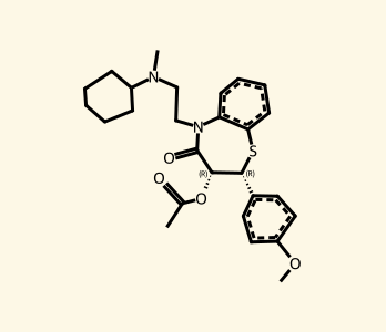 COc1ccc([C@H]2Sc3ccccc3N(CCN(C)C3CCCCC3)C(=O)[C@H]2OC(C)=O)cc1